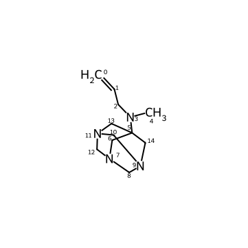 C=CCN(C)C12CN3CN(CN(C3)C1)C2